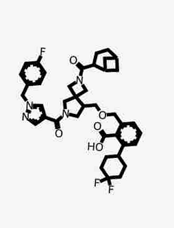 O=C(O)c1c(COCC2CN(C(=O)c3cnn(Cc4ccc(F)cc4)c3)CC23CN(C(=O)C2CCC4CC2C4)C3)cccc1C1CCC(F)(F)CC1